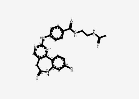 CC(=O)NCCNC(=O)c1ccc(Nc2ncc3c(n2)-c2ccc(Cl)cc2NC(=O)C3)cc1